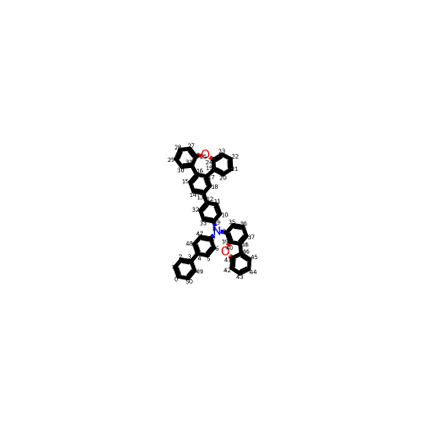 c1ccc(-c2ccc(N(c3ccc(-c4ccc5c(c4)-c4ccccc4Oc4ccccc4-5)cc3)c3cccc4c3oc3ccccc34)cc2)cc1